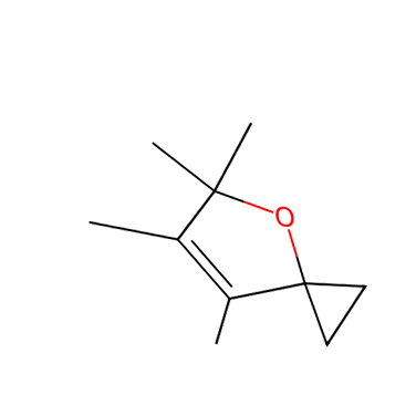 CC1=C(C)C2(CC2)OC1(C)C